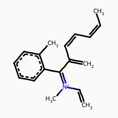 C=C/[N+](C)=C(\C(=C)/C=C\C=C/C)c1ccccc1C